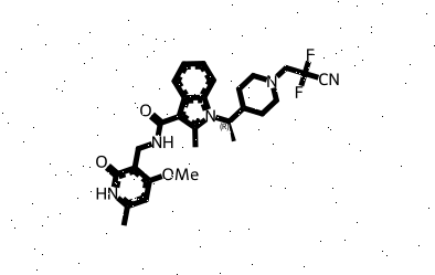 COc1cc(C)[nH]c(=O)c1CNC(=O)c1c(C)n([C@H](C)C2CCN(CC(F)(F)C#N)CC2)c2ccccc12